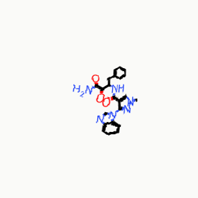 Cn1cc(C(=O)NC(Cc2ccccc2)C(=O)C(N)=O)c(-n2cnc3ccccc32)n1